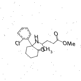 COC(=O)CCC(C)NC1(c2ccccc2Cl)CCCCC1=O